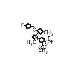 COC(=O)c1cc(-n2c(C)ccc2-c2cc(C)ccc2OCc2ccc(F)cc2)ccc1OC(F)F